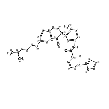 Cc1ccc(NC(=O)c2cccc(-c3cccs3)c2)cc1-n1ccc2ccc(OCCCN(C)C)cc2c1=O